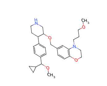 COCCCN1CCOc2ccc(COC3CNCCC3c3ccc(C(OC)C4CC4)cc3)cc21